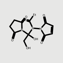 CCC(=O)N(N1C(=O)C=CC1=O)C(O)(CO)N1C(=O)CCC1=O